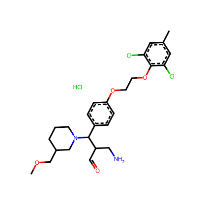 COCC1CCCN(C(c2ccc(OCCOc3c(Cl)cc(C)cc3Cl)cc2)C(C=O)CN)C1.Cl